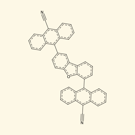 N#Cc1c2ccccc2c(-c2ccc3oc4c(-c5c6ccccc6c(C#N)c6ccccc56)cccc4c3c2)c2ccccc12